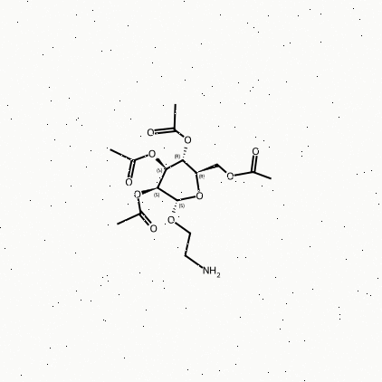 CC(=O)OC[C@H]1O[C@H](OCCN)[C@@H](OC(C)=O)[C@@H](OC(C)=O)[C@@H]1OC(C)=O